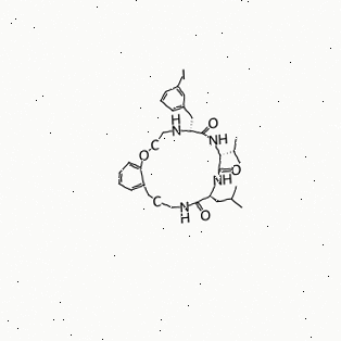 CC(C)C[C@@H]1NC(=O)[C@@H](C(C)C)NC(=O)[C@@H](Cc2cccc(I)c2)NCCOc2ccccc2CCCNC1=O